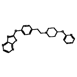 c1ccc(OC2CCN(CCc3ccc(Oc4nc5nccnc5s4)cc3)CC2)nc1